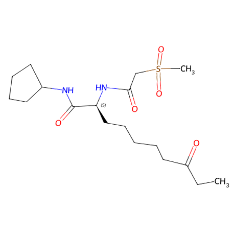 CCC(=O)CCCCC[C@H](NC(=O)CS(C)(=O)=O)C(=O)NC1CCCC1